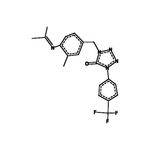 CC(C)=Nc1ccc(Cn2nnn(-c3ccc(C(F)(F)F)cc3)c2=O)cc1C